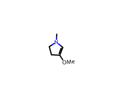 COC1=CN(C)CC1